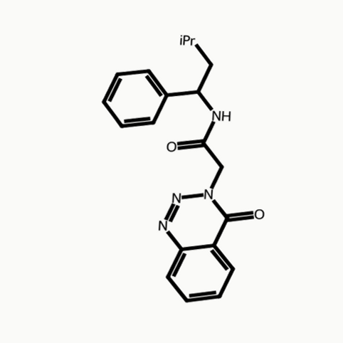 CC(C)CC(NC(=O)Cn1nnc2ccccc2c1=O)c1ccccc1